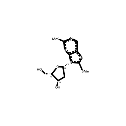 CSc1ncc2nc(SC)n([C@@H]3C[C@@H](O)[C@H](CO)O3)c2n1